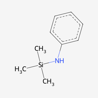 C[Si](C)(C)Nc1ccccc1